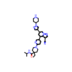 CCC1(C(=O)NC(C)C)CCN(c2ccc(-c3cc(-c4cnn(C5CCNCC5)c4)cn4ncc(C#N)c34)cn2)CC1